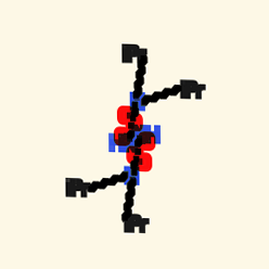 CC(C)CCCCCCCCN(CCCCCCCCC(C)C)CCC(=O)OC[C@@H]1NC(=O)[C@H](COC(=O)CCN(CCCCCCCCC(C)C)CCCCCCCCC(C)C)NC1=O